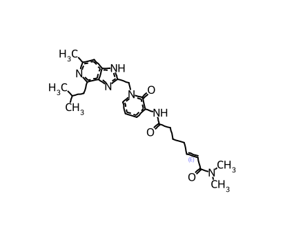 Cc1cc2[nH]c(Cn3cccc(NC(=O)CCC/C=C/C(=O)N(C)C)c3=O)nc2c(CC(C)C)n1